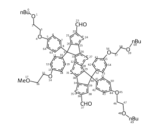 CCCCOCCOc1ccc(C2(c3ccc(OCCOC)cc3)c3cc(C=O)sc3-c3sc4c5c(sc4c32)-c2sc(C=O)cc2C5(c2ccc(OCCOCCCC)cc2)c2ccc(OCCOCCCC)cc2)cc1